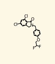 O=C1c2c(Cl)cc(Cl)cc2CN1Cc1ccc(OCC(F)F)cc1